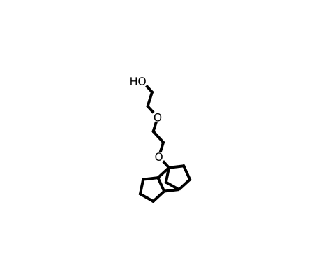 OCCOCCOC12CCC(C1)C1CCCC12